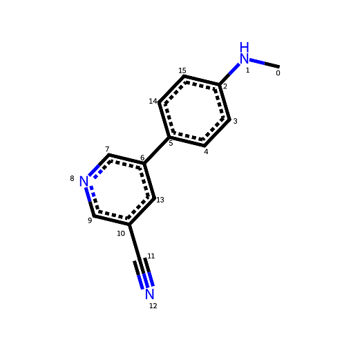 CNc1ccc(-c2cncc(C#N)c2)cc1